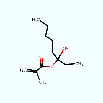 C=C(C)C(=O)OC(O)(CC)CCCCC